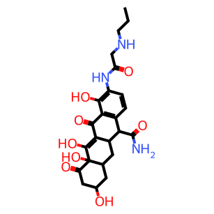 CCCNCC(=O)Nc1ccc2c(c1O)C(=O)C1=C(O)C3(O)C(=O)CC(O)CC3CC1C2C(N)=O